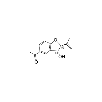 C=C(C)[C@@H]1Oc2ccc(C(C)=O)cc2[C@H]1O